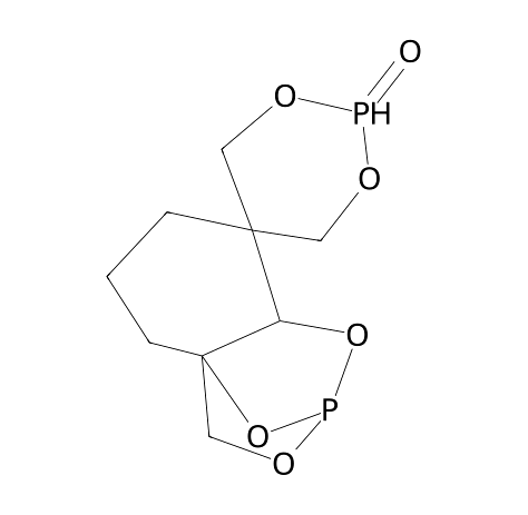 O=[PH]1OCC2(CCCC34COP(OC23)O4)CO1